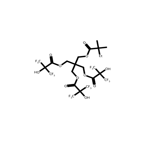 CCC(C)(C)C(=O)OCC(COC(=O)C(O)(C(F)(F)F)C(F)(F)F)(COC(=O)C(O)(C(F)(F)F)C(F)(F)F)COC(=O)C(O)(C(F)(F)F)C(F)(F)F